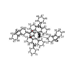 c1ccc(N2c3ccccc3C3(c4ccccc42)c2cc(-c4ccc5sc6ccccc6c5c4)sc2C2(c4ccccc4N(c4ccccc4)c4ccccc42)c2cc(-c4ccc5sc6ccccc6c5c4)sc23)cc1